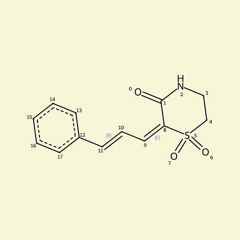 O=C1NCCS(=O)(=O)/C1=C/C=C/c1ccccc1